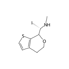 CN[C@@H](I)C1OCCc2ccsc21